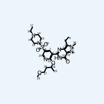 CCc1c2nc(-c3cc(S(=O)(=O)N4CCN(CC)CC4)cnc3OC(C)CCOC)[nH]c(=O)c2nn1C